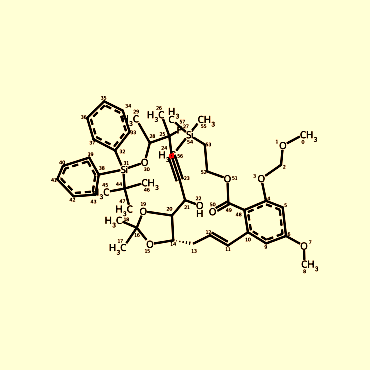 COCOc1cc(OC)cc(/C=C/C[C@@H]2OC(C)(C)OC2C(O)C#CC(C)(F)C(C)O[Si](c2ccccc2)(c2ccccc2)C(C)(C)C)c1C(=O)OCC[Si](C)(C)C